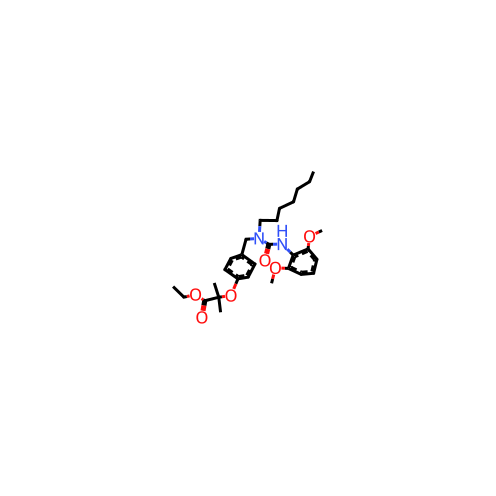 CCCCCCCN(Cc1ccc(OC(C)(C)C(=O)OCC)cc1)C(=O)Nc1c(OC)cccc1OC